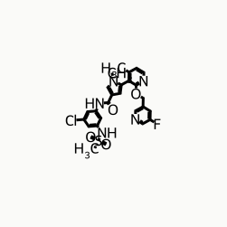 Cc1ccnc(OCc2cncc(F)c2)c1-c1cc(C(=O)Nc2cc(Cl)cc(NS(C)(=O)=O)c2)cn1C